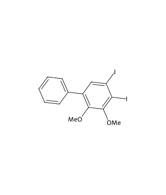 COc1c(-c2ccccc2)cc(I)c(I)c1OC